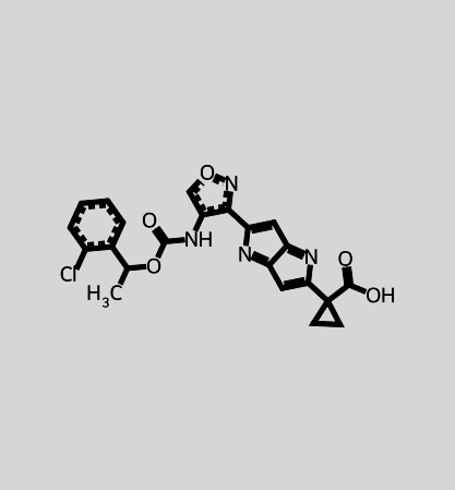 CC(OC(=O)Nc1conc1C1=CC2=NC(C3(C(=O)O)CC3)=CC2=N1)c1ccccc1Cl